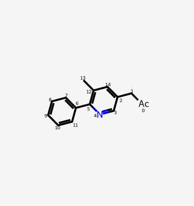 CC(=O)Cc1cnc(-c2ccccc2)c(C)c1